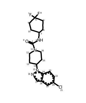 O=C(NC1CCC(F)(F)CC1)N1CCC(n2ncc3cc(Cl)ccc32)CC1